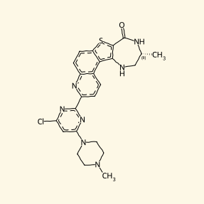 C[C@@H]1CNc2c(sc3ccc4nc(-c5nc(Cl)cc(N6CCN(C)CC6)n5)ccc4c23)C(=O)N1